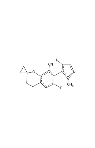 Cn1ncc(I)c1-c1c(F)cc2c(c1C#N)OC1(CC2)CC1